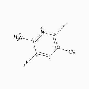 Nc1nc(F)c(Cl)cc1F